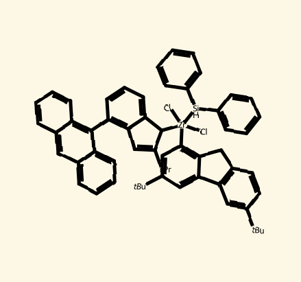 CCCC1=Cc2c(-c3c4ccccc4cc4ccccc34)cccc2[CH]1[Zr]([Cl])([Cl])([c]1cc(C(C)(C)C)cc2c1Cc1ccc(C(C)(C)C)cc1-2)[SiH](c1ccccc1)c1ccccc1